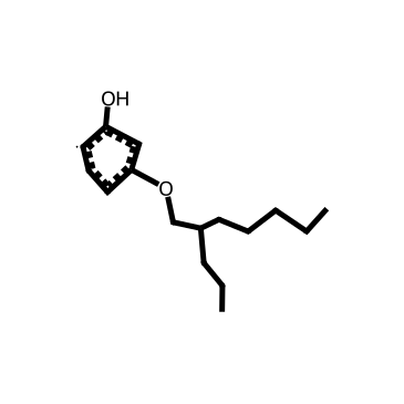 CCCCCC(CCC)COc1cc[c]c(O)c1